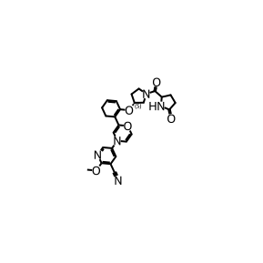 COc1ncc(N2C=COC(C3=C(O[C@H]4CCN(C(=O)C5CCC(=O)N5)C4)C=CCC3)=C2)cc1C#N